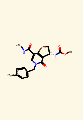 CCCCNC(=O)c1cn(Cc2ccc(C(C)(C)C)cc2)c(=O)c2c1SC[C@@H]2NC(=O)OC(C)(C)C